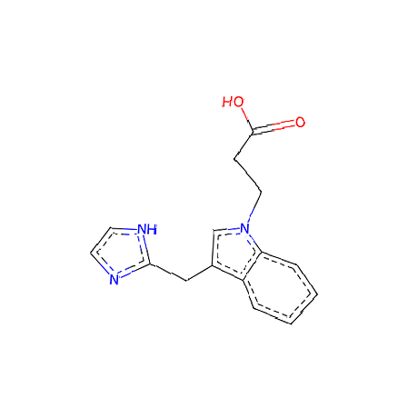 O=C(O)CCn1cc(Cc2ncc[nH]2)c2ccccc21